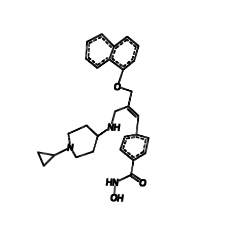 O=C(NO)c1ccc(C=C(CNC2CCN(C3CC3)CC2)COc2cccc3ccccc23)cc1